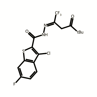 CC(C)(C)C(=O)CC(=NNC(=O)c1sc2cc(F)ccc2c1Cl)C(F)(F)F